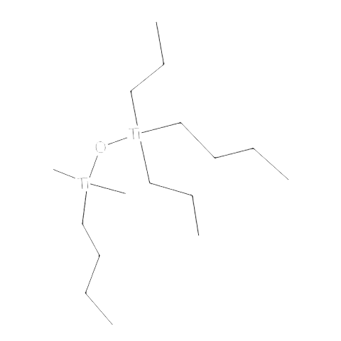 CCC[CH2][Ti]([CH3])([CH3])[O][Ti]([CH2]CC)([CH2]CC)[CH2]CCC